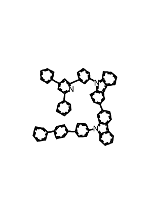 c1ccc(-c2ccc(-c3ccc(-n4c5ccccc5c5ccc(-c6ccc7c(c6)c6ccccc6n7-c6cccc(-c7cc(-c8ccccc8)cc(-c8ccccc8)n7)c6)cc54)cc3)cc2)cc1